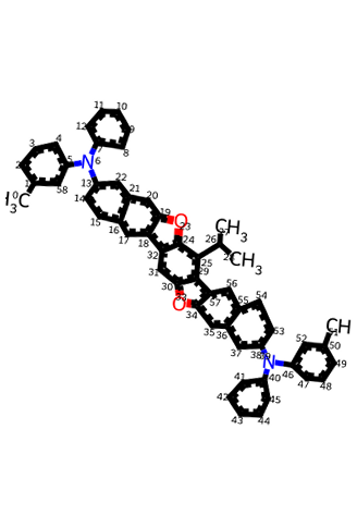 Cc1cccc(N(c2ccccc2)c2ccc3cc4c(cc3c2)oc2c(C(C)C)c3c(cc24)oc2cc4cc(N(c5ccccc5)c5cccc(C)c5)ccc4cc23)c1